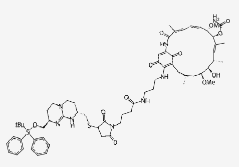 CO[C@H]1/C=C\C=C(/C)C(=O)NC2=CC(=O)C(NCCCNC(=O)CCCN3C(=O)CC(SC[C@H]4CCN5CC[C@H](CO[Si](c6ccccc6)(c6ccccc6)C(C)(C)C)N=C5N4)C3=O)=C(C[C@@H](C)C[C@H](OC)[C@H](O)[C@@H](C)/C=C(\C)[C@@H]1OC(N)=O)C2=O